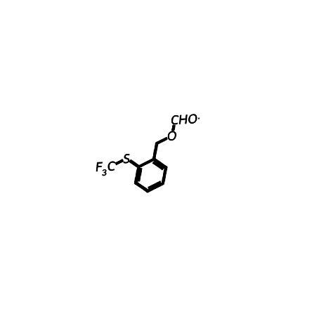 O=[C]OCc1ccccc1SC(F)(F)F